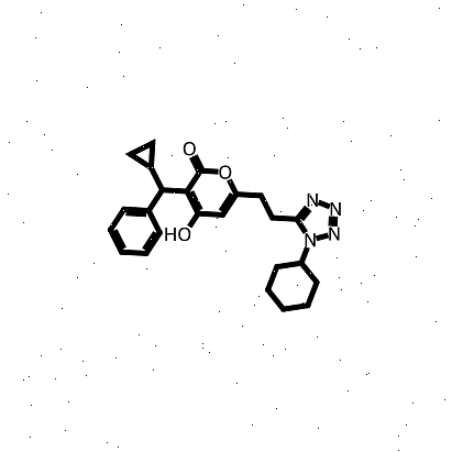 O=c1oc(CCc2nnnn2C2CCCCC2)cc(O)c1C(c1ccccc1)C1CC1